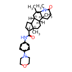 CC1=C2N(C)C(=O)CC[C@]2(C)[C@@H]2CC[C@]3(C)C(C(=O)Nc4ccc(N5CCOCC5)cc4)CC[C@H]3[C@@H]2C1